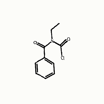 CCN(C(=O)Cl)C(=O)c1ccccc1